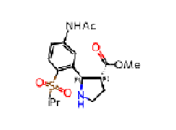 COC(=O)[C@@H]1CCN[C@H]1c1cc(NC(C)=O)ccc1S(=O)(=O)C(C)C